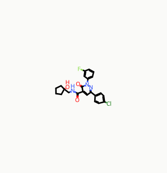 O=C(NCC1(O)CCCC1)c1cc(-c2ccc(Cl)cc2)nn(-c2cccc(F)c2)c1=O